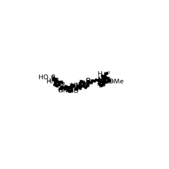 C=C/C=C(\C)C(NCCCCCC(=O)N1CCc2c1ccc1[nH]c(C(=O)N3CCc4c3ccc3[nH]c(C(=O)N5CCc6c5ccc5[nH]c(C(=O)O)cc65)cc43)cc21)(c1ccccc1)c1ccc(OC)cc1